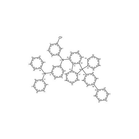 Clc1cccc(N(c2cccc(N(c3ccccc3)c3ccccc3)c2)c2cccc3c2-c2ccccc2C3(c2ccccc2)c2ccc(-c3ccccc3)cc2)c1